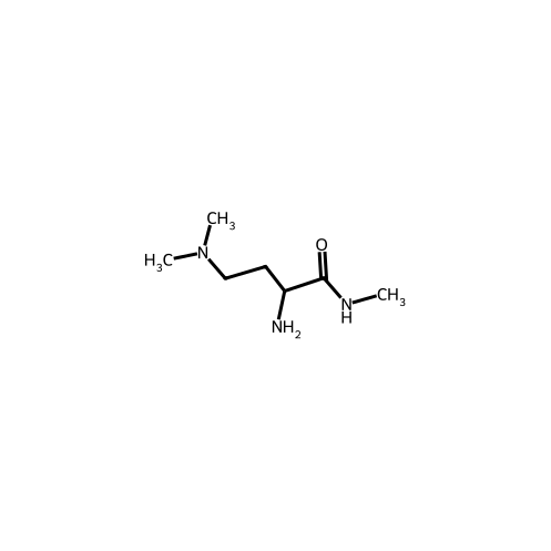 CNC(=O)C(N)CCN(C)C